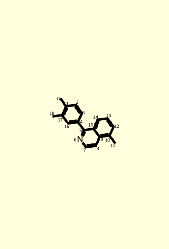 Cc1ccc(-c2nccc3c(C)cccc23)cc1C